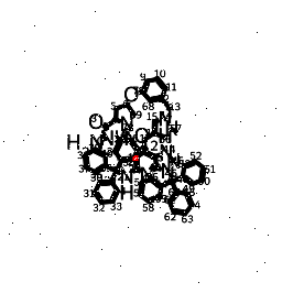 NNC(=O)C1CC(Oc2cccc(Cn3cc(Cc4cc(NC(c5ccccc5)(c5ccccc5)c5ccccc5)nc5c4nnn5C(c4ccccc4)(c4ccccc4)c4ccccc4)cn3)c2)CN1C(=O)O